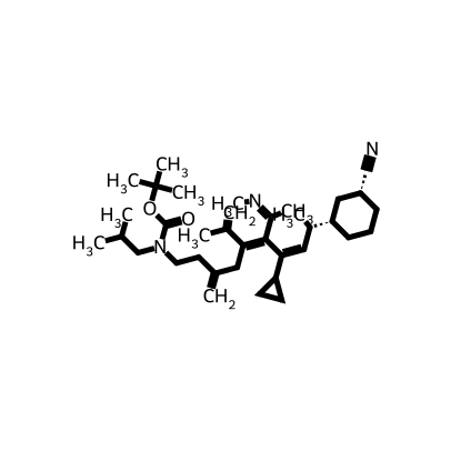 C=C(CCN(CC(C)C)C(=O)OC(C)(C)C)C/C(C(=C)C)=C(C(=C/C(C)[C@H]1CCC[C@@H](C#N)C1)\C1CC1)/C(C)=N\C